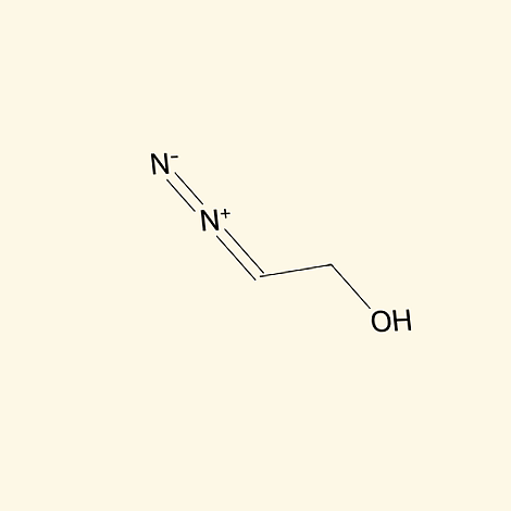 [N-]=[N+]=CCO